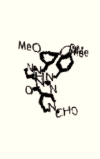 COc1ccc(CNc2nc3c(c(=O)n2-c2ccnn2Cc2cc(OC)cc(OC)c2)CCN(C=O)C3)cc1